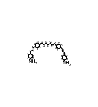 Nc1ccc(CCCc2ccc(CCCCCCCc3ccc(CCCc4ccc(N)cc4)cc3)cc2)cc1